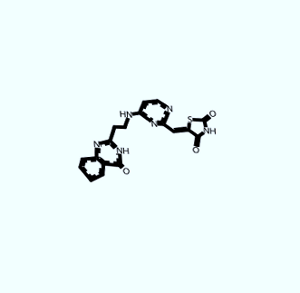 O=C1NC(=O)/C(=C/c2nccc(NCCc3nc4ccccc4c(=O)[nH]3)n2)S1